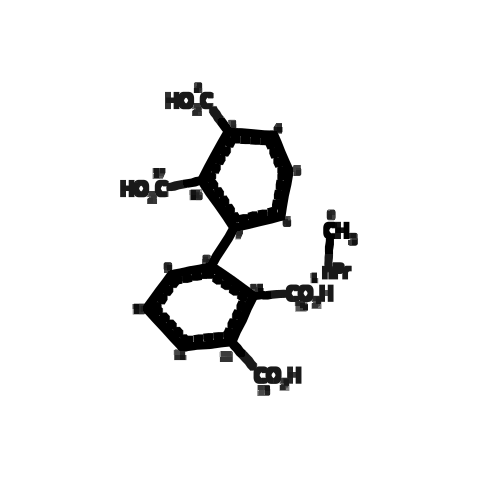 CCCC.O=C(O)c1cccc(-c2cccc(C(=O)O)c2C(=O)O)c1C(=O)O